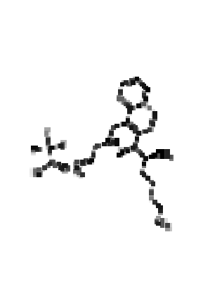 C=CCNCc1c(C(=O)[C@@H](N)CCCCN)ccc2ccccc12.O=C(O)C(F)(F)F